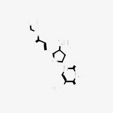 CCOC(=O)C=C[C@H]1O[C@@H](n2cc(C)c(=O)[nH]c2=O)CC1N